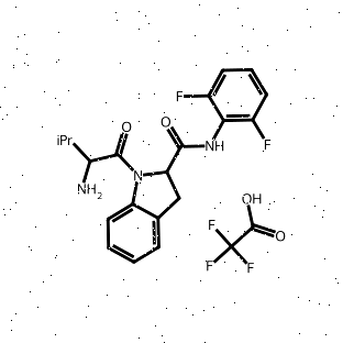 CC(C)C(N)C(=O)N1c2ccccc2CC1C(=O)Nc1c(F)cccc1F.O=C(O)C(F)(F)F